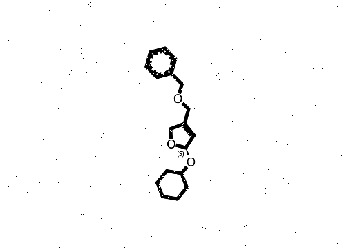 C1=C(COCc2ccccc2)CO[C@H]1OC1CCCCC1